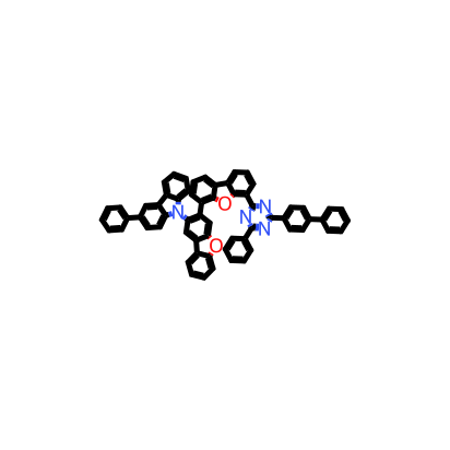 c1ccc(-c2ccc(-c3nc(-c4ccccc4)nc(-c4cccc5c4oc4c(-c6cc7oc8ccccc8c7cc6-n6c7ccccc7c7cc(-c8ccccc8)ccc76)cccc45)n3)cc2)cc1